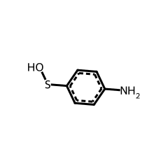 Nc1ccc(SO)cc1